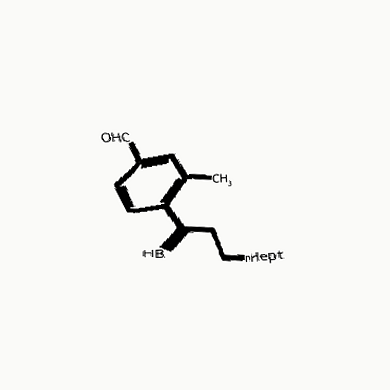 B=C(CCCCCCCCC)c1ccc(C=O)cc1C